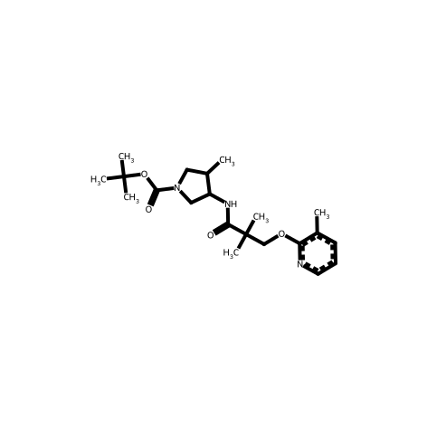 Cc1cccnc1OCC(C)(C)C(=O)NC1CN(C(=O)OC(C)(C)C)CC1C